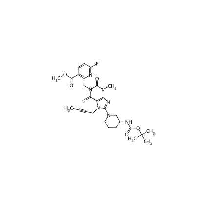 CC#CCn1c(N2CCC[C@@H](NC(=O)OC(C)(C)C)C2)nc2c1c(=O)n(Cc1nc(F)ccc1C(=O)OC)c(=O)n2C